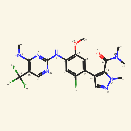 CNc1nc(Nc2cc(F)c(-c3cnn(C)c3C(=O)N(C)C)cc2OC)ncc1C(F)(F)F